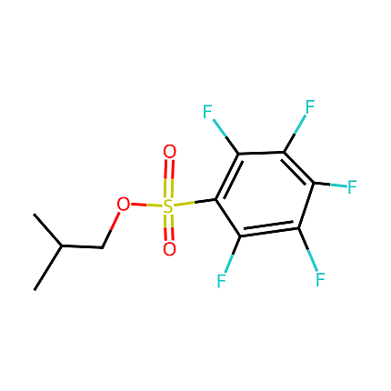 CC(C)COS(=O)(=O)c1c(F)c(F)c(F)c(F)c1F